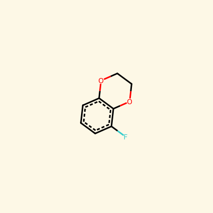 Fc1cccc2c1OCCO2